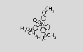 CCOc1ccc(N(c2ccccc2)C2(c3ccc(N(C)C)cc3)OC(=O)c3cc(N(C)C)ccc32)cc1